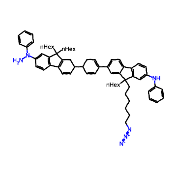 CCCCCCC1(CCCCCC)C2=C(C=CC(C3C=CC(c4ccc5c(c4)C(CCCCCC)(CCCCCCN=[N+]=[N-])c4cc(Nc6ccccc6)ccc4-5)=CC3)C2)c2ccc(N(N)c3ccccc3)cc21